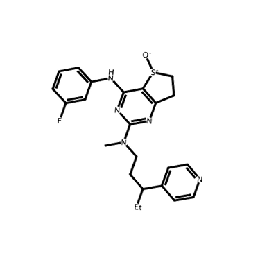 CCC(CCN(C)c1nc2c(c(Nc3cccc(F)c3)n1)[S+]([O-])CC2)c1ccncc1